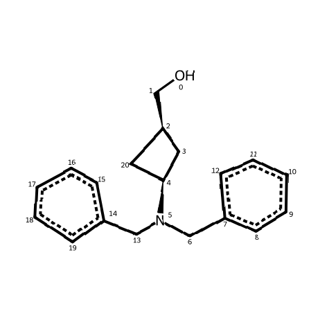 OC[C@H]1C[C@@H](N(Cc2ccccc2)Cc2ccccc2)C1